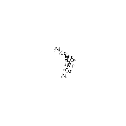 O.[Co].[Co].[Mn].[Mn].[Ni].[Ni]